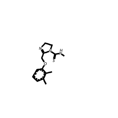 CNC(=S)N1CCN=C1COc1cccc(C)c1C